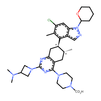 Cc1c(Cl)cc2c(cnn2C2CCCCO2)c1[C@@H]1Cc2nc(N3CC(N(C)C)C3)nc(N3CCN(C(=O)O)CC3)c2C[C@H]1C